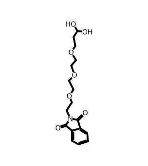 O=C1c2ccccc2C(=O)N1CCOCCOCCOCCC(O)O